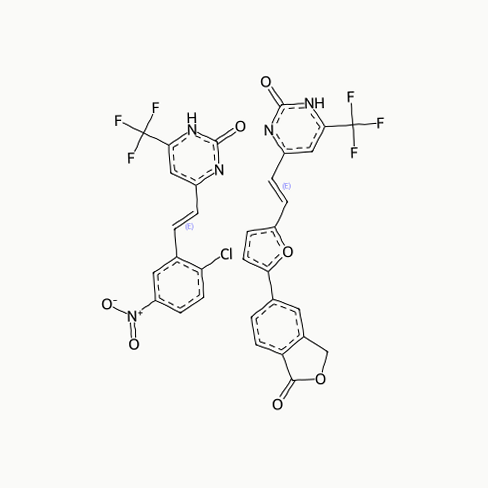 O=C1OCc2cc(-c3ccc(/C=C/c4cc(C(F)(F)F)[nH]c(=O)n4)o3)ccc21.O=c1nc(/C=C/c2cc([N+](=O)[O-])ccc2Cl)cc(C(F)(F)F)[nH]1